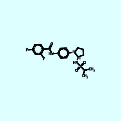 CC(C)S(=O)(=O)N[C@H]1CCC[C@H]1c1ccc(NC(=O)c2ccc(F)cc2F)cc1